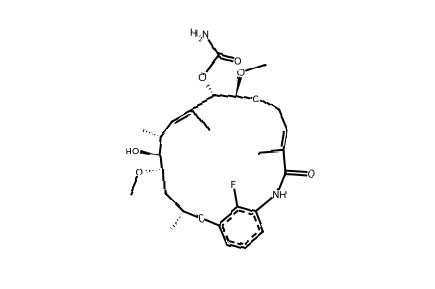 CO[C@H]1C[C@@H](C)Cc2cccc(c2F)NC(=O)/C(C)=C/CC[C@H](OC)[C@@H](OC(N)=O)/C(C)=C/[C@@H](C)[C@@H]1O